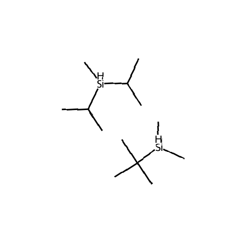 CC(C)[SiH](C)C(C)C.C[SiH](C)C(C)(C)C